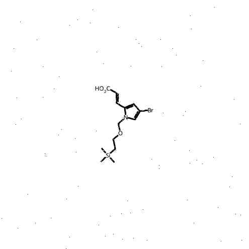 C[Si](C)(C)CCOCn1cc(Br)cc1/C=C/C(=O)O